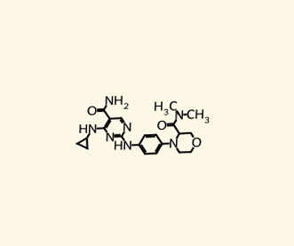 CN(C)C(=O)C1COCCN1c1ccc(Nc2ncc(C(N)=O)c(NC3CC3)n2)cc1